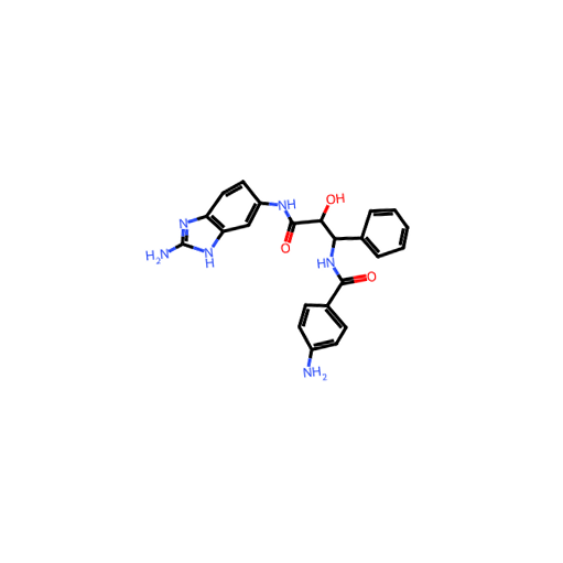 Nc1ccc(C(=O)NC(c2ccccc2)C(O)C(=O)Nc2ccc3nc(N)[nH]c3c2)cc1